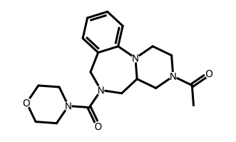 CC(=O)N1CCN2c3ccccc3CN(C(=O)N3CCOCC3)CC2C1